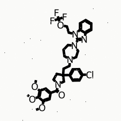 COc1cc(C(=O)N2CCC(CCN3CCCN(c4nc5ccccc5n4CCOC(F)(F)F)CC3)(c3ccc(Cl)cc3)C2)cc(OC)c1OC